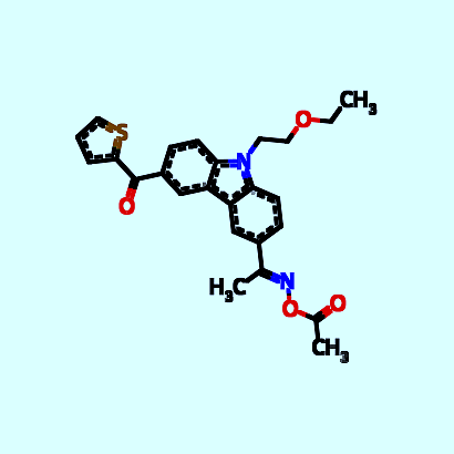 CCOCCn1c2ccc(C(=O)c3cccs3)cc2c2cc(C(C)=NOC(C)=O)ccc21